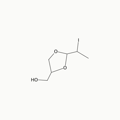 CC(I)C1OCC(CO)O1